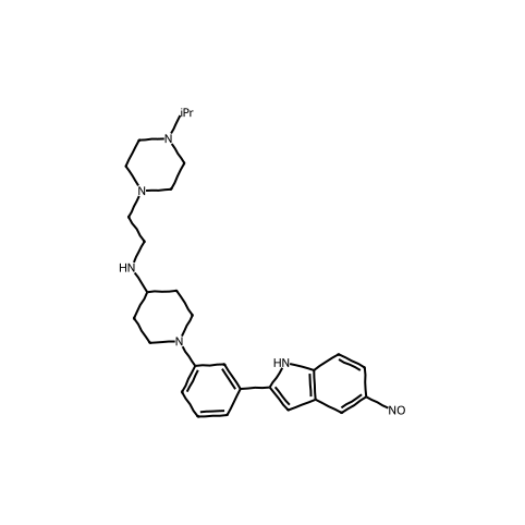 CC(C)N1CCN(CCNC2CCN(c3cccc(-c4cc5cc(N=O)ccc5[nH]4)c3)CC2)CC1